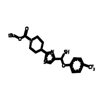 CC(C)(C)OC(=O)N1CCC(c2nc(C(S)Oc3ccc(C(F)(F)F)cc3)cs2)CC1